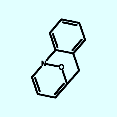 C1=CN2OC(=C1)Cc1ccccc12